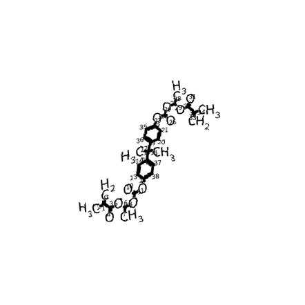 C=C(C)C(=O)OC(C)OC(=O)Oc1ccc(C(C)(C)c2ccc(OC(=O)OC(C)OC(=O)C(=C)C)cc2)cc1